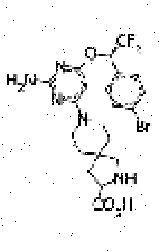 Nc1nc(O[C@H](c2ccc(Br)cc2)C(F)(F)F)cc(N2CCC3(CC2)CNC(C(=O)O)C3)n1